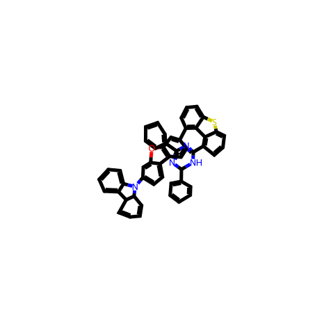 C1=CC2c3ccccc3N(c3ccc4c(c3)oc3cc(-c5cccc6sc7cccc(C8=NC(c9ccccc9)=NC(c9ccccc9)N8)c7c56)ccc34)C2C=C1